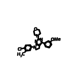 COc1cccc(-c2nc(N3CCOCC3)nc3c2CCN3c2ccc(Cl)c(C)c2)c1